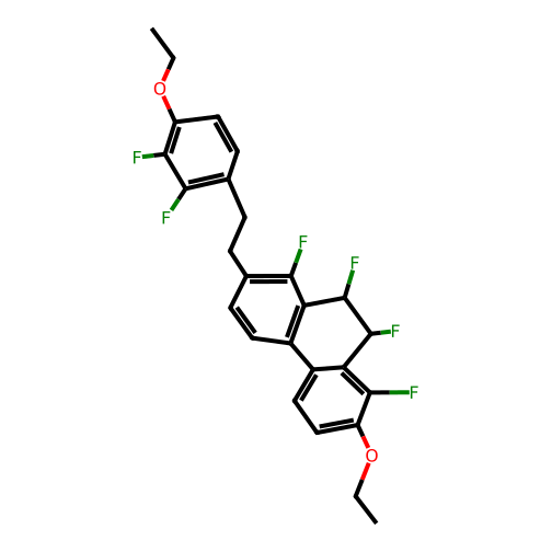 CCOc1ccc(CCc2ccc3c(c2F)C(F)C(F)c2c-3ccc(OCC)c2F)c(F)c1F